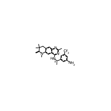 C=C1N(C)c2cc3c(N[C@H](C)c4cc(N)cc(C(F)(F)F)c4)nc(C)nc3cc2CC1(C)C